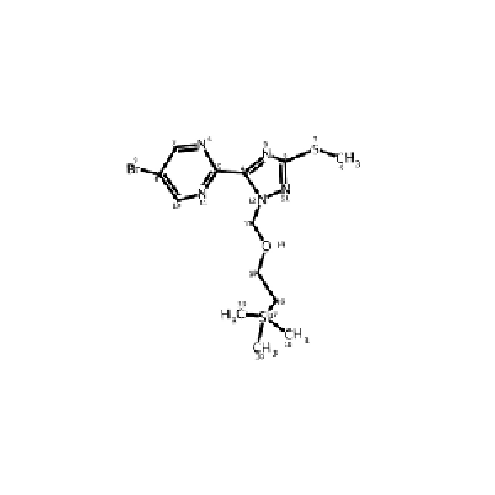 CSc1nc(-c2ncc(Br)cn2)n(COCC[Si](C)(C)C)n1